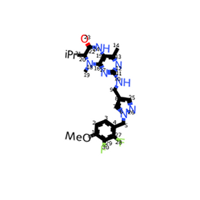 COc1ccc(Cn2cc(CNc3nc(C)c4c(n3)N(C)C(C(C)C)C(=O)N4)cn2)c(F)c1F